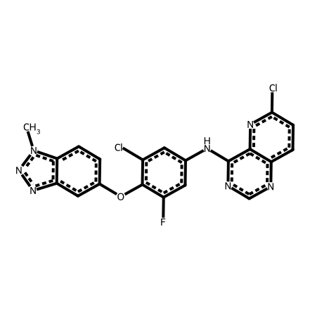 Cn1nnc2cc(Oc3c(F)cc(Nc4ncnc5ccc(Cl)nc45)cc3Cl)ccc21